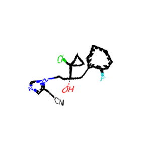 N#Cc1cncn1C[C@](O)(Cc1ccccc1F)C1(Cl)CC1